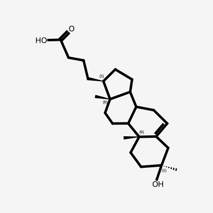 C[C@]1(O)CC[C@@]2(C)C(=CCC3C2CC[C@@]2(C)C3CC[C@@H]2CCCC(=O)O)C1